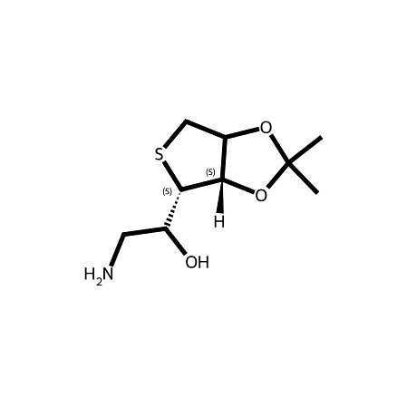 CC1(C)OC2CS[C@@H](C(O)CN)[C@H]2O1